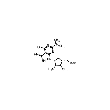 COC[C@H]1C[C@@H](Nc2nc(N(C)C)nc(C)c2C(=N)S)[C@H](C)[C@@H]1C